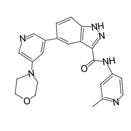 Cc1cc(NC(=O)c2n[nH]c3ccc(-c4cncc(N5CCOCC5)c4)cc23)ccn1